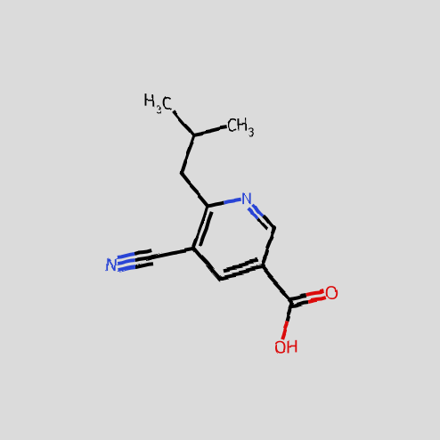 CC(C)Cc1ncc(C(=O)O)cc1C#N